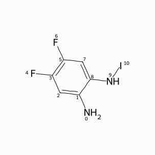 Nc1cc(F)c(F)cc1NI